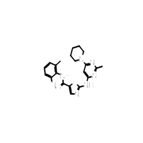 Cc1nc(Nc2ncc(C(=O)Nc3c(C)cccc3Cl)s2)cc(N2CCCCC2)n1